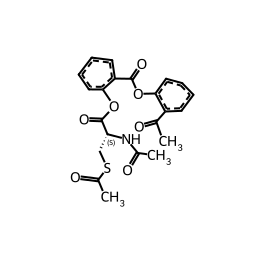 CC(=O)N[C@H](CSC(C)=O)C(=O)Oc1ccccc1C(=O)Oc1ccccc1C(C)=O